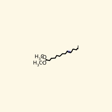 COC(CCCCCCC/C=C/CCI)OC